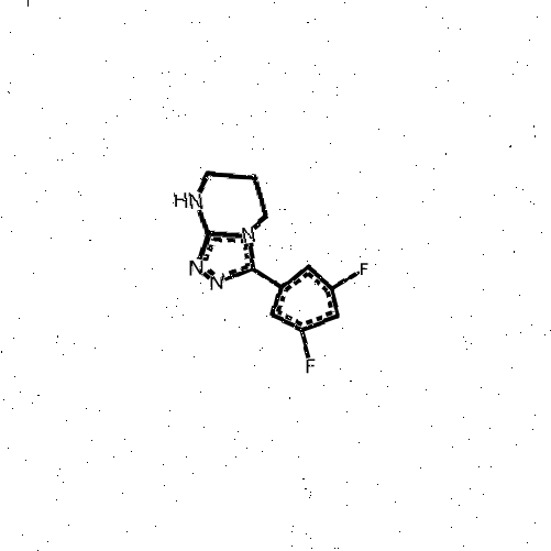 Fc1cc(F)cc(-c2nnc3n2CCCN3)c1